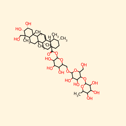 CC1OC(OC2C(CO)OC(OCC3OC(OC(=O)[C@]45CC[C@@H](C)[C@H](C)[C@H]4C4=CCC6[C@@]7(C)C[C@@H](O)[C@@H](O)[C@@](C)(CO)C7CC[C@@]6(C)[C@]4(C)CC5)C(O)C(O)C3O)C(O)C2O)C(O)C(O)C1O